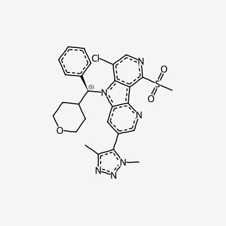 Cc1nnn(C)c1-c1cnc2c3c(S(C)(=O)=O)ncc(Cl)c3n([C@H](c3ccccc3)C3CCOCC3)c2c1